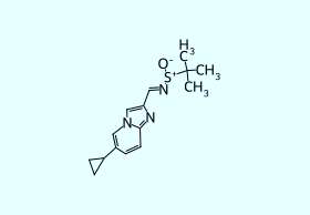 CC(C)(C)[S+]([O-])N=Cc1cn2cc(C3CC3)ccc2n1